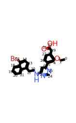 CCOc1cc(-c2cc(NCCc3ccc(Br)c4ccccc34)ncn2)ccc1CC(=O)O